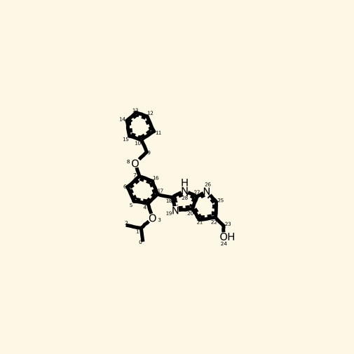 CC(C)Oc1ccc(OCc2ccccc2)cc1-c1nc2cc(CO)cnc2[nH]1